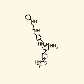 CC(C)(C)NC(=S)N1CCN(c2cc(N)nc(NCc3ccc(CNCCCNC4CCCCC4)cc3)n2)CC1